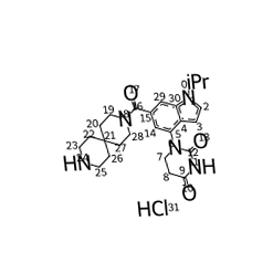 CC(C)n1ccc2c(N3CCC(=O)NC3=O)cc(C(=O)N3CCC4(CCNCC4)CC3)cc21.Cl